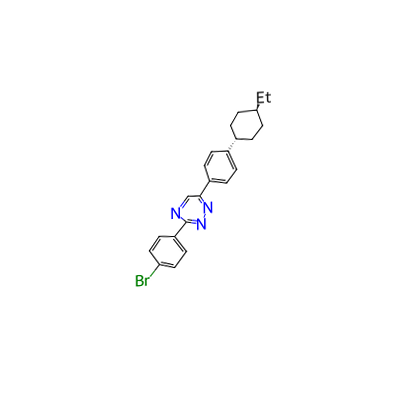 CC[C@H]1CC[C@H](c2ccc(-c3cnc(-c4ccc(Br)cc4)nn3)cc2)CC1